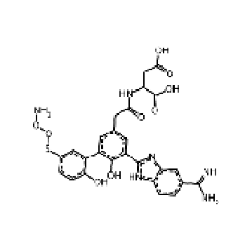 N=C(N)c1ccc2[nH]c(-c3cc(CC(=O)NC(CC(=O)O)C(=O)O)cc(-c4cc(SOON)ccc4O)c3O)nc2c1